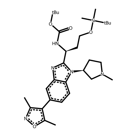 Cc1noc(C)c1-c1ccc2c(c1)nc([C@H](CCO[Si](C)(C)C(C)(C)C)NC(=O)OC(C)(C)C)n2[C@H]1CCN(C)C1